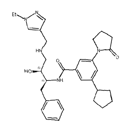 CCn1cc(CNC[C@H](O)[C@H](Cc2ccccc2)NC(=O)c2cc(C3CCCC3)cc(N3CCCC3=O)c2)cn1